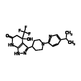 CC(C)c1ccc(N2CCC(c3n[nH]c4c3C(O)(C(F)(F)F)CC(=O)N4)CC2)nc1